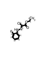 CCOC(=O)C(Cl)=NNc1ccccc1F